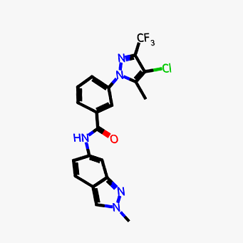 Cc1c(Cl)c(C(F)(F)F)nn1-c1cccc(C(=O)Nc2ccc3cn(C)nc3c2)c1